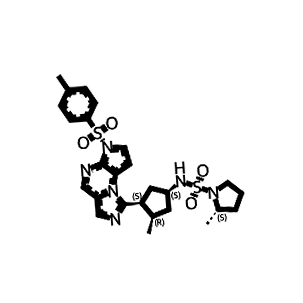 Cc1ccc(S(=O)(=O)n2ccc3c2ncc2cnc([C@H]4C[C@@H](NS(=O)(=O)N5CCC[C@@H]5C)C[C@H]4C)n23)cc1